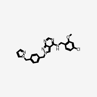 COc1cc(Cl)ccc1CNc1ncnc2nn(Cc3ccc(Cn4cccn4)cc3)cc12